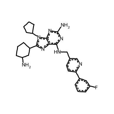 Nc1nc(NCc2ccc(-c3cccc(F)c3)nc2)c2nc(C3CCCC(N)C3)n(C3CCCC3)c2n1